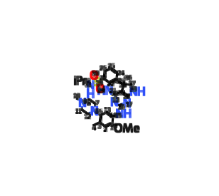 COc1cc(C)c(N2CCN(C)CC2)cc1Nc1nc2c(c(Nc3ccccc3S(=O)(=O)NC(C)C)n1)C(C)(C)CN2